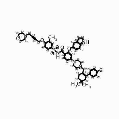 Cc1cc(S(=O)(=O)NC(=O)c2ccc(N3CCN(CC4=C(c5ccc(Cl)cc5)CC(C)(C)CC4)CC3)cc2Oc2ccc3[nH]ccc3c2)ccc1OCC#CCN1CCOCC1